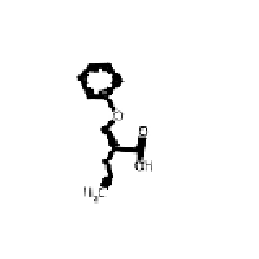 C=CCC(=COc1ccccc1)C(=O)O